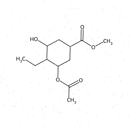 CCC1C(O)CC(C(=O)OC)CC1OC(C)=O